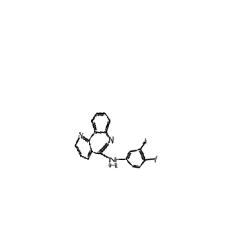 Ic1ccc(Nc2nc3ccccc3c3ncccc23)cc1I